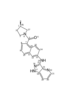 C[C@@H]1CCN(C(=O)c2cccc3cc(Nc4n[nH]c5cccnc45)ccc23)C1